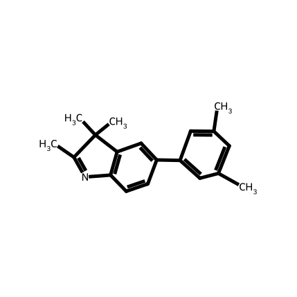 CC1=Nc2ccc(-c3cc(C)cc(C)c3)cc2C1(C)C